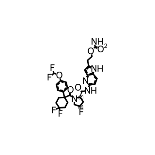 NC(=O)OCCc1cc2nc(NC(=O)[C@H]3C[C@@H](F)CN3C(=O)C3(c4ccc(OC(F)F)cc4)CCC(F)(F)CC3)ccc2[nH]1